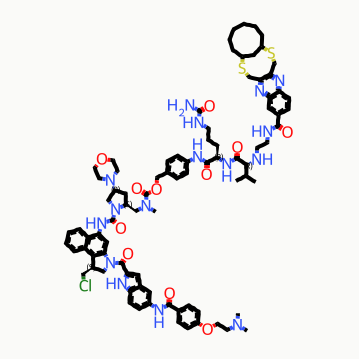 CC(C)[C@@H](NCCNC(=O)c1ccc2nc3c(nc2c1)CSC1CCCCCCC(C1)SC3)C(=O)N[C@H](CCCNC(N)=O)C(=O)Nc1ccc(COC(=O)N(C)C[C@@H]2C[C@@H](N3CCOCC3)CN2C(=O)Nc2cc3c(c4ccccc24)[C@H](CCl)CN3C(=O)c2cc3cc(NC(=O)c4ccc(OCCN(C)C)cc4)ccc3[nH]2)cc1